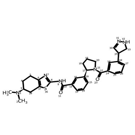 CN(C)[C@H]1CCc2nc(NC(=O)c3cccc([C@H]4CCCN4C(=O)c4cccc(C5C=NNC5)c4)c3)sc2C1